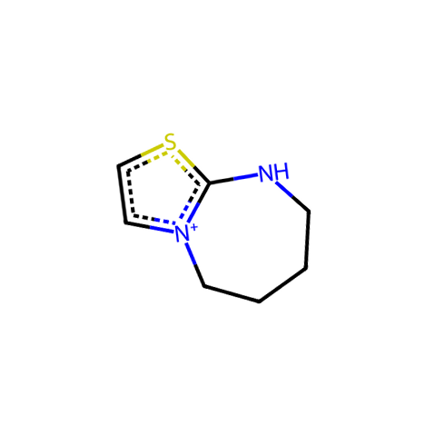 c1c[n+]2c(s1)NCCCC2